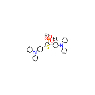 CCOP(=O)(OCC)c1cc(-c2ccc(N(c3ccccc3)c3ccccc3)cc2)sc1-c1ccc(N(c2ccccc2)c2ccccc2)cc1